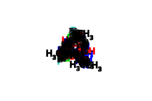 CNC(=O)[C@@H](O)Cn1cnc2ccc(-c3cnc(OC)c(N(CNC(=O)[C@@H](O)Cn4cnc5ccc(-c6cnc(OC)c(N(N(C)C(=O)[C@H](C)Cn7cnc8ccc(-c9cnc(C)c(NS(=O)(=O)c%10sc(C)nc%10C)c9)cc8c7=O)S(=O)(=O)c7ccc(F)cc7Cl)c6)cc5c4=O)S(=O)(=O)c4ccc(F)cc4Cl)c3)cc2c1=O